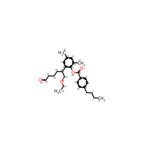 CCCCc1ccc(C(=O)Oc2c(C)cc(C)cc2C(CCCC=O)COCC)cc1